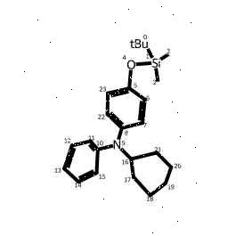 CC(C)(C)[Si](C)(C)Oc1ccc(N(c2ccccc2)C2CCCCC2)cc1